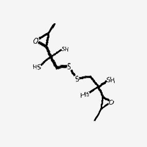 CC1OC1C(S)(S)CSSCC(S)(S)C1OC1C